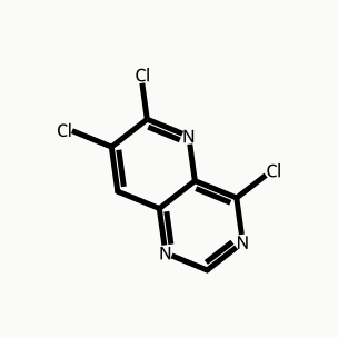 Clc1cc2ncnc(Cl)c2nc1Cl